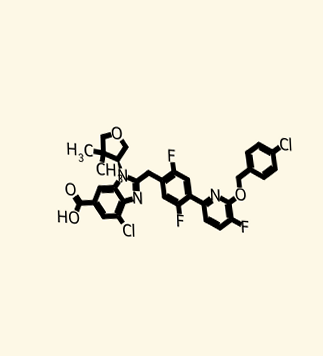 CC1(C)COC[C@H]1n1c(Cc2cc(F)c(-c3ccc(F)c(OCc4ccc(Cl)cc4)n3)cc2F)nc2c(Cl)cc(C(=O)O)cc21